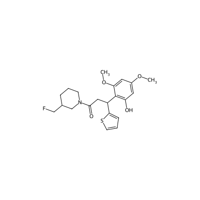 COc1cc(O)c(C(CC(=O)N2CCCC(CF)C2)c2cccs2)c(OC)c1